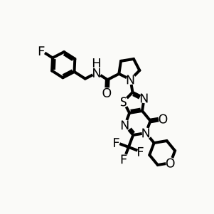 O=C(NCc1ccc(F)cc1)C1CCCN1c1nc2c(=O)n(C3CCOCC3)c(C(F)(F)F)nc2s1